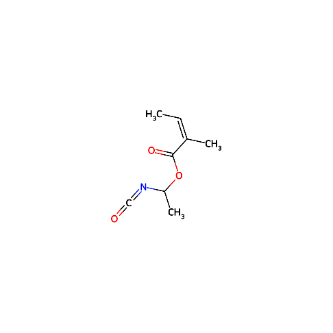 CC=C(C)C(=O)OC(C)N=C=O